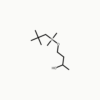 CC(O)CCO[Si](C)(C)CC(C)(C)C